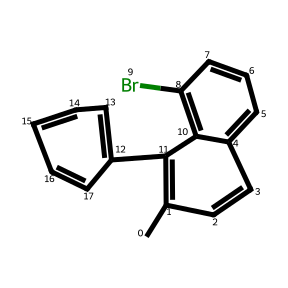 Cc1ccc2cccc(Br)c2c1-c1ccccc1